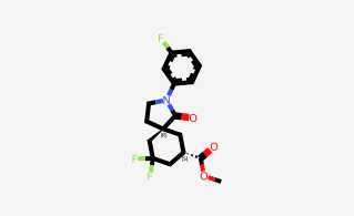 COC(=O)[C@@H]1CC(F)(F)C[C@]2(CCN(c3cccc(F)c3)C2=O)C1